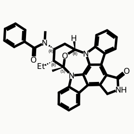 CC[C@@H]1[C@H](N(C)C(=O)c2ccccc2)C[C@H]2O[C@]1(C)n1c3ccccc3c3c4c(c5c6ccccc6n2c5c31)C(=O)NC4